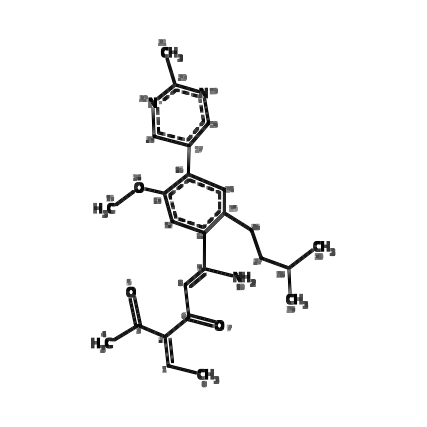 C/C=C(/C(C)=O)C(=O)/C=C(\N)c1cc(OC)c(-c2cnc(C)nc2)cc1CCC(C)C